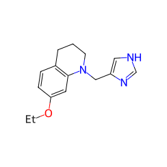 CCOc1ccc2c(c1)N(Cc1c[nH]cn1)CCC2